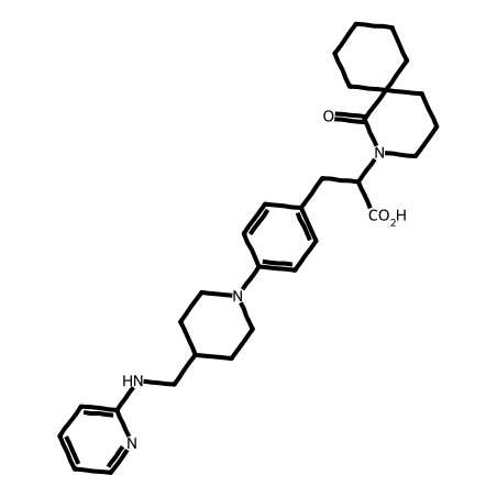 O=C(O)C(Cc1ccc(N2CCC(CNc3ccccn3)CC2)cc1)N1CCCC2(CCCCC2)C1=O